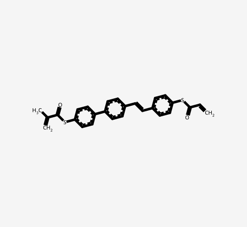 C=CC(=O)Sc1ccc(/C=C/c2ccc(-c3ccc(SC(=O)C(=C)C)cc3)cc2)cc1